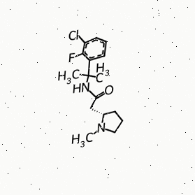 CN1CCC[C@H]1CC(=O)NC(C)(C)c1cccc(Cl)c1F